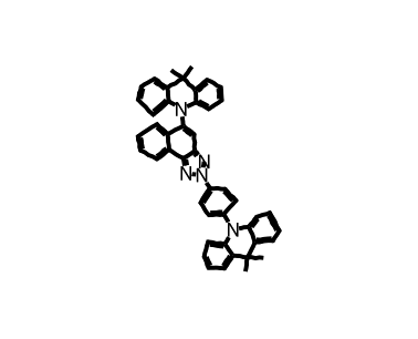 CC1(C)c2ccccc2N(c2ccc(-n3nc4cc(N5c6ccccc6C(C)(C)c6ccccc65)c5ccccc5c4n3)cc2)c2ccccc21